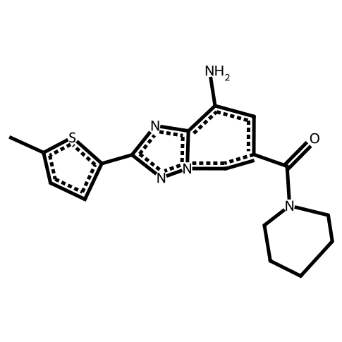 Cc1ccc(-c2nc3c(N)cc(C(=O)N4CCCCC4)cn3n2)s1